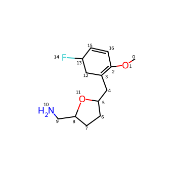 COC1=C(CC2CCC(CN)O2)CC(F)C=C1